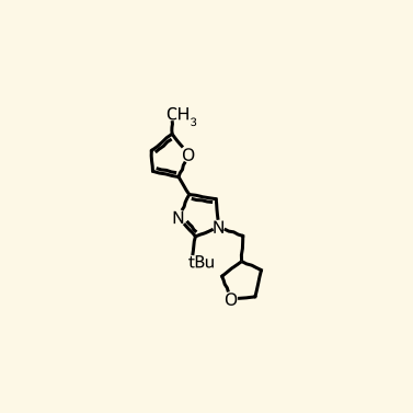 Cc1ccc(-c2cn(CC3CCOC3)c(C(C)(C)C)n2)o1